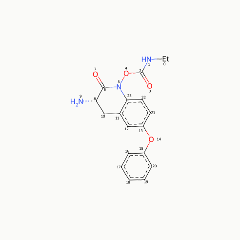 CCNC(=O)ON1C(=O)[C@@H](N)Cc2cc(Oc3ccccc3)ccc21